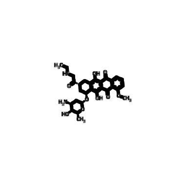 CCNCC(=O)[C@@H]1Cc2c(O)c3c(c(O)c2[C@@H](O[C@H]2C[C@H](N)[C@H](O)[C@H](C)O2)C1)C(=O)c1c(OC)cccc1C3=O